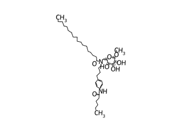 CCCCCCCCCCCCCCCCCC(=O)N(CCCCc1ccc(NC(=O)CCCCC)cc1)C[C@H]1O[C@H](OC)[C@H](O)[C@@H](O)[C@@H]1O